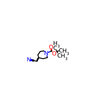 CC(C)(C)OC(=O)N1CCCC(=CC#N)CC1